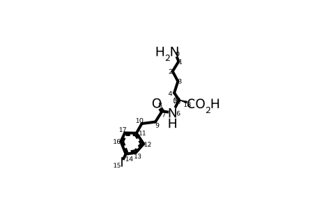 NCCCC[C@H](NC(=O)CCc1ccc(I)cc1)C(=O)O